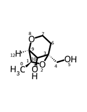 C[C@@H]1O[C@]2(CO)CCO[C@H]1C2O